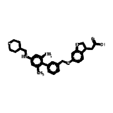 Cc1cc(NCC2CCOCC2)cc(C)c1-c1cccc(COc2ccc3c(c2)OCC3CC(=O)O)c1